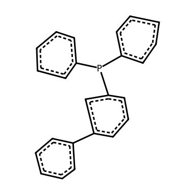 c1ccc(-c2cccc(P(c3ccccc3)c3ccccc3)c2)cc1